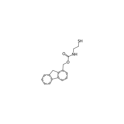 O=C(NCCS)OCc1cccc2c1Cc1ccccc1-2